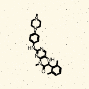 Cc1cccc(C)c1C1Nc2cnc(Nc3ccc(N4CCN(C)CC4)cc3)nc2N(C)C1=O